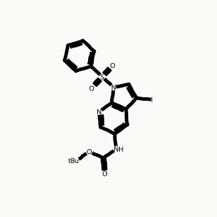 CC(C)(C)OC(=O)Nc1cnc2c(c1)c(I)cn2S(=O)(=O)c1ccccc1